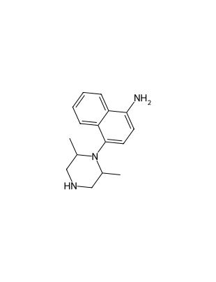 CC1CNCC(C)N1c1ccc(N)c2ccccc12